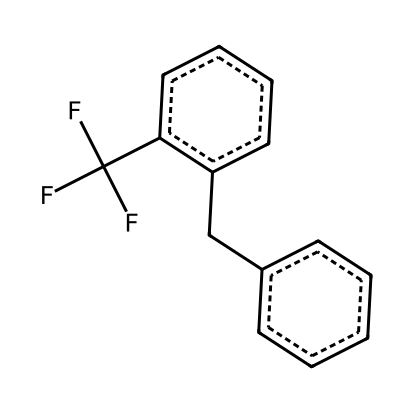 FC(F)(F)c1ccccc1Cc1ccccc1